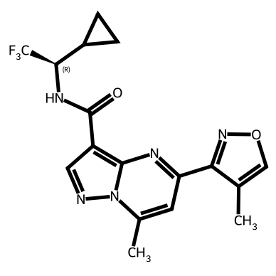 Cc1conc1-c1cc(C)n2ncc(C(=O)N[C@H](C3CC3)C(F)(F)F)c2n1